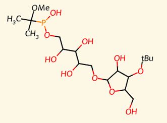 COC(C)(C)P(O)OCC(O)C(O)C(O)COC1OC(CO)C(OC(C)(C)C)C1O